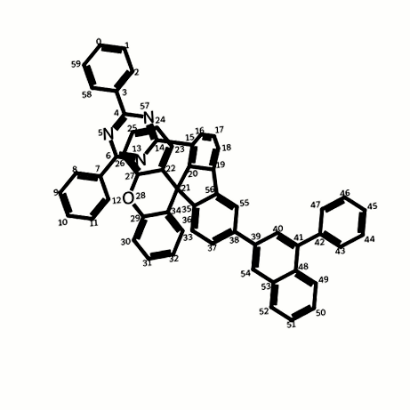 c1ccc(-c2nc(-c3ccccc3)nc(-c3cccc4c3C3(c5ccccc5Oc5ccccc53)c3ccc(-c5cc(-c6ccccc6)c6ccccc6c5)cc3-4)n2)cc1